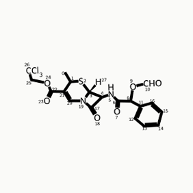 CC1S[C@@H]2C(NC(=O)C(OC=O)c3ccccc3)C(=O)N2C=C1C(=O)OCC(Cl)(Cl)Cl